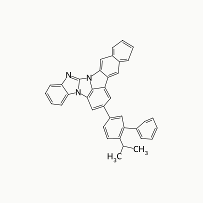 CC(C)c1ccc(-c2cc3c4cc5ccccc5cc4n4c3c(c2)n2c3ccccc3nc24)cc1-c1ccccc1